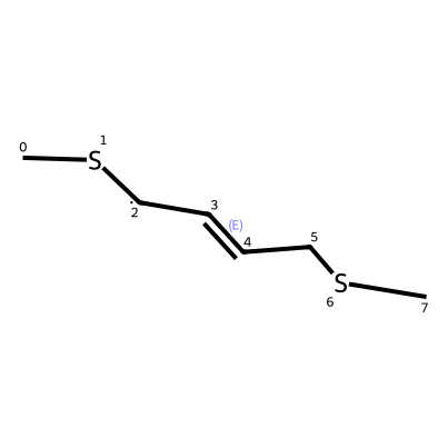 CS[CH]/C=C/CSC